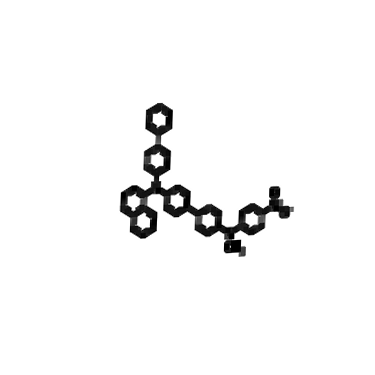 CN(c1ccc(-c2ccc(N(c3ccc(-c4ccccc4)cc3)c3cccc4ccccc34)cc2)cc1)c1ccc([N+](=O)[O-])cc1